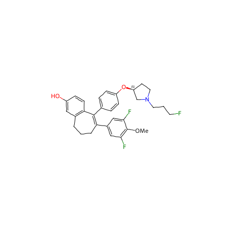 COc1c(F)cc(C2=C(c3ccc(O[C@H]4CCN(CCCF)C4)cc3)c3ccc(O)cc3CCC2)cc1F